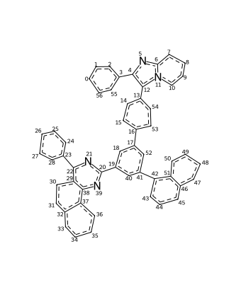 c1ccc(-c2nc3ccccn3c2-c2ccc(-c3cc(-c4nc(-c5ccccc5)c5ccc6ccccc6c5n4)cc(-c4cccc5ccccc45)c3)cc2)cc1